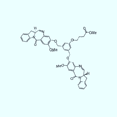 COC(=O)CCCOc1cc(COc2cc3c(cc2OC)C(=O)N2c4ccccc4C[C@H]2C=N3)cc(COc2cc3c(cc2OC)C(=O)N2c4ccccc4C[C@H]2C=N3)c1